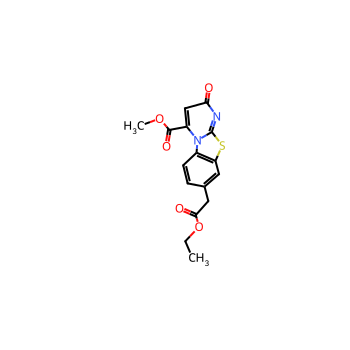 CCOC(=O)Cc1ccc2c(c1)sc1nc(=O)cc(C(=O)OC)n12